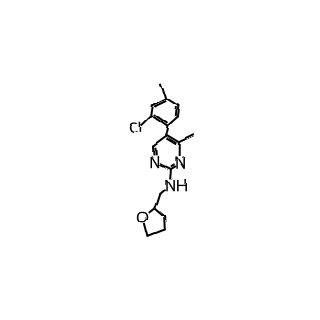 Cc1ccc(-c2cnc(NCC3CCCO3)nc2C)c(Cl)c1